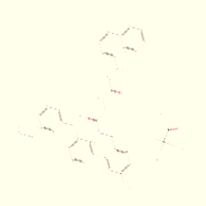 CC(C)(C)c1ccc(CN(C(=O)CCC(=O)NCc2cccc3ccccc23)c2ccccc2Oc2cccc(CN)c2)cc1.O=C(O)C(F)(F)F